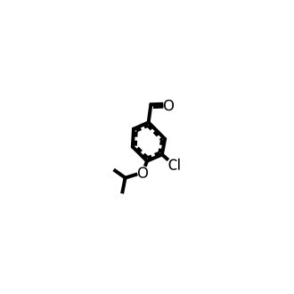 CC(C)Oc1ccc(C=O)cc1Cl